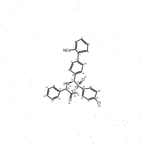 N#Cc1ccccc1-c1ccc([C@H](NC(C(N)=O)c2ccccc2)S(=O)(=O)c2ccc(Cl)cc2)cc1